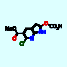 COC(=O)c1cc2cc(OC(=O)O)[nH]c2nc1Cl